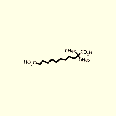 CCCCCCC(CCCCCC)(CCCCCCCCCC(=O)O)C(=O)O